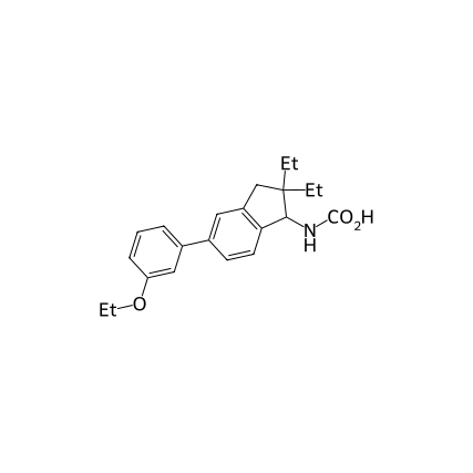 CCOc1cccc(-c2ccc3c(c2)CC(CC)(CC)C3NC(=O)O)c1